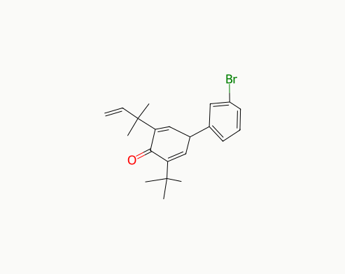 C=CC(C)(C)C1=CC(c2cccc(Br)c2)C=C(C(C)(C)C)C1=O